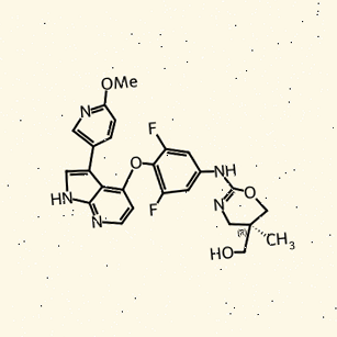 COc1ccc(-c2c[nH]c3nccc(Oc4c(F)cc(NC5=NC[C@](C)(CO)CO5)cc4F)c23)cn1